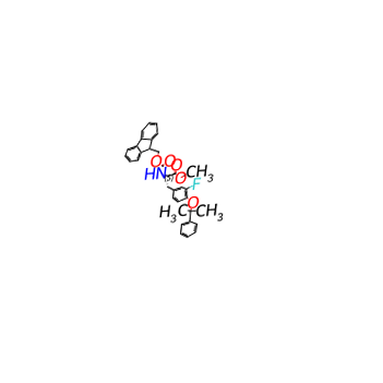 COC(=O)[C@H](Cc1ccc(OC(C)(C)c2ccccc2)c(F)c1)NC(=O)OCC1c2ccccc2-c2ccccc21